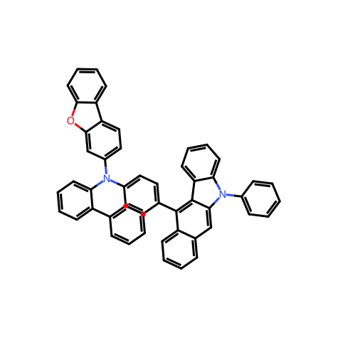 c1ccc(-c2ccccc2N(c2ccc(-c3c4ccccc4cc4c3c3ccccc3n4-c3ccccc3)cc2)c2ccc3c(c2)oc2ccccc23)cc1